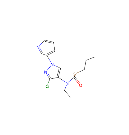 CCCSC(=O)N(CC)c1cn(-c2cccnc2)nc1Cl